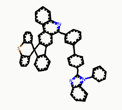 c1ccc(-n2c(-c3ccc(-c4cccc(-c5nc6ccccc6c6cc7c(cc56)-c5ccccc5C75c6ccccc6Sc6ccccc65)c4)cc3)nc3ccccc32)cc1